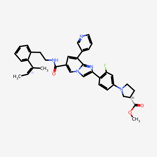 C/C=C(/C)c1ccccc1CCNC(=O)c1cc(-c2cccnc2)c2nc(-c3ccc(N4CC[C@H](C(=O)OC)C4)cc3F)cn2c1